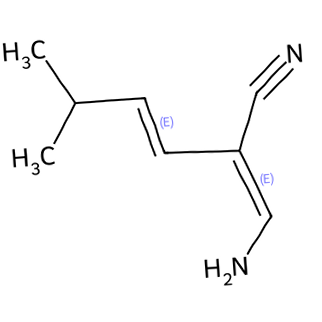 CC(C)/C=C/C(C#N)=C\N